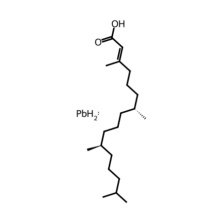 C/C(=C\C(=O)O)CCC[C@H](C)CCC[C@H](C)CCCC(C)C.[PbH2]